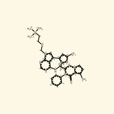 Cc1ccn2nc([C@H](C)Nc3ncnc4c3c(-c3cc(C(F)(F)F)nn3C)cn4COCC[Si](C)(C)C)n(-c3ccccc3)c(=O)c12